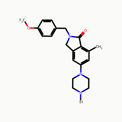 CCN1CCN(c2cc(C)c3c(c2)CN(Cc2ccc(OC(F)(F)F)cc2)C3=O)CC1